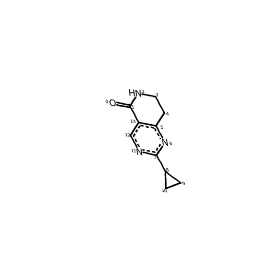 O=C1NCCc2nc(C3CC3)ncc21